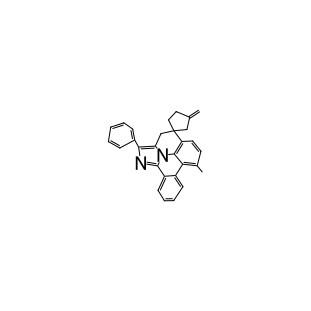 C=C1CCC2(C1)Cc1c(-c3ccccc3)nc3c4ccccc4c4c(C)ccc2c4n13